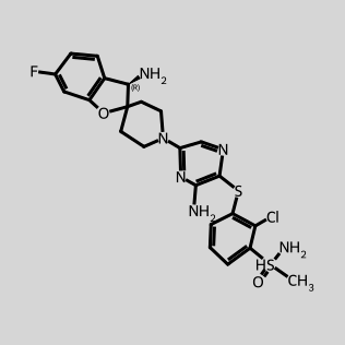 C[SH](N)(=O)c1cccc(Sc2ncc(N3CCC4(CC3)Oc3cc(F)ccc3[C@H]4N)nc2N)c1Cl